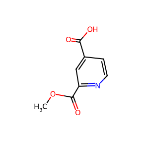 COC(=O)c1cc(C(=O)O)ccn1